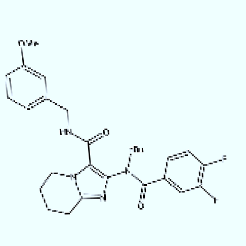 CCCCN(C(=O)c1ccc(F)c(F)c1)c1nc2n(c1C(=O)NCc1cccc(OC)c1)CCCC2